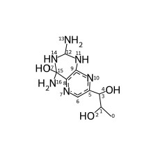 CC(O)C(O)c1cnc2c(n1)NC(N)NC2(N)O